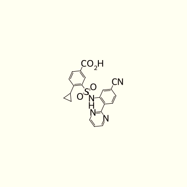 N#Cc1ccc(-c2ncccn2)c(NS(=O)(=O)c2cc(C(=O)O)ccc2C2CC2)c1